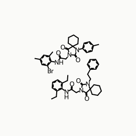 CCc1cccc(CC)c1NC(=O)CN1C(=O)N(CCc2ccccc2)C2(CCCCC2)C1=O.Cc1ccc(N2C(=O)N(CC(=O)Nc3c(C)cc(C)cc3Br)C(=O)C23CCCCC3)cc1